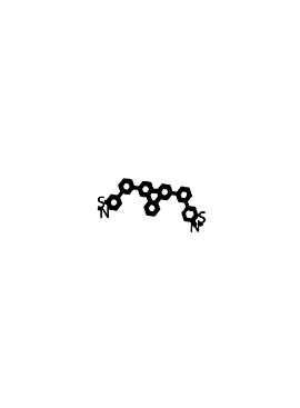 C1=C(c2cccc(-c3ccc4c5ccc(-c6cccc(-c7ccc8ncsc8c7)c6)cc5c5ccccc5c4c3)c2)CCc2ncsc21